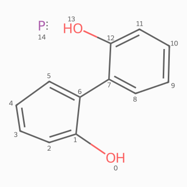 Oc1ccccc1-c1ccccc1O.[P]